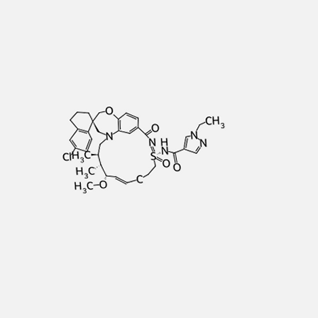 CCn1cc(C(=O)N[S@@]2(=O)=NC(=O)c3ccc4c(c3)N(C[C@H](C)[C@@H](C)[C@@H](OC)/C=C/CCC2)C[C@@]2(CCCc3cc(Cl)ccc32)CO4)cn1